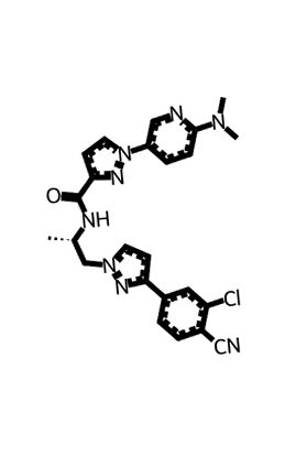 C[C@@H](Cn1ccc(-c2ccc(C#N)c(Cl)c2)n1)NC(=O)c1ccn(-c2ccc(N(C)C)nc2)n1